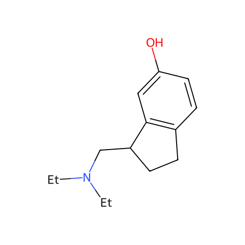 CCN(CC)CC1CCc2ccc(O)cc21